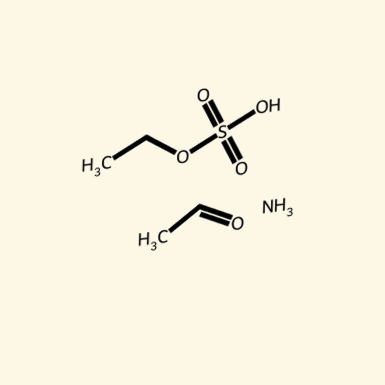 CC=O.CCOS(=O)(=O)O.N